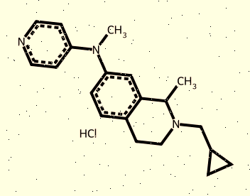 CC1c2cc(N(C)c3ccncc3)ccc2CCN1CC1CC1.Cl